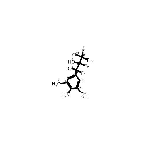 Cc1cc(C(F)(Cl)C(O)(F)C(F)(F)Cl)cc(C)c1N